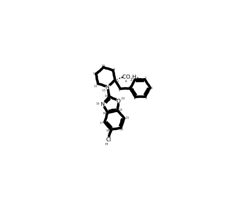 O=C(O)[C@@]1(Cc2ccccc2)CCCCN1c1nc2cc(Cl)ccc2o1